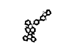 CC1C=CC2(C)C3=C1C(C)(c1cc4ccccc4c4ccccc14)C=CC3(C)N(c1ccc(-c3cnc4c(c3)sc3ccccc34)cc1)c1ccccc12